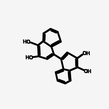 Oc1cc(-c2cc(O)c(O)c3ccccc23)c2ccccc2c1O